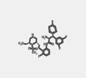 CC[C@H]1CNC[C@H](CCc2c(F)cccc2NC(=O)[C@@H](N)[C@@H](c2ccc(F)cc2)c2cc(F)cc(F)c2)N1S(C)(=O)=O